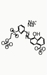 O=S(=O)([O-])OCCS(=O)(=O)c1cccc(N=Nc2ccc3c(S(=O)(=O)[O-])cccc3c2O)c1.[Na+].[Na+]